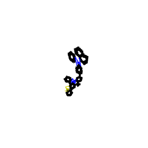 CC1(C)c2ccc(-c3ccc(N(c4ccccc4)C4C=CC=C5C=CC=CC54)cc3)cc2-n2c3ccccc3c3c4sc5ccccc5c4cc1c32